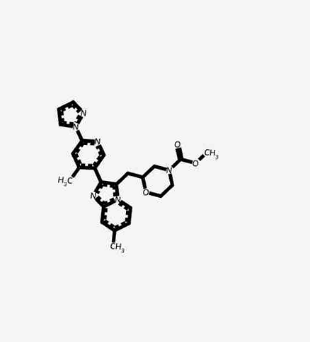 COC(=O)N1CCOC(Cc2c(-c3cnc(-n4cccn4)cc3C)nc3cc(C)ccn23)C1